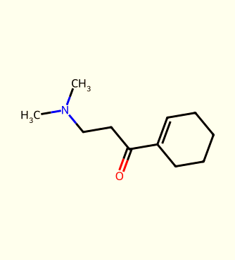 CN(C)CCC(=O)C1=CCCCC1